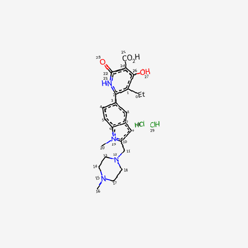 CCc1c(-c2ccc3c(c2)cc(CN2CCN(C)CC2)n3C)[nH]c(=O)c(C(=O)O)c1O.Cl.Cl